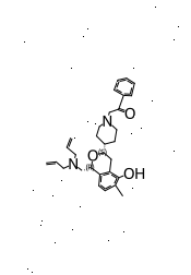 C=CCN(CC=C)C[C@@H]1O[C@H](C2CCN(CC(=O)c3ccccc3)CC2)Cc2c1ccc(C)c2O